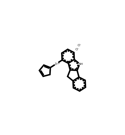 C1=CC[C]([Zr+2][c]2cccc3[nH]c4c(c23)Cc2ccccc2-4)=C1.[Cl-].[Cl-]